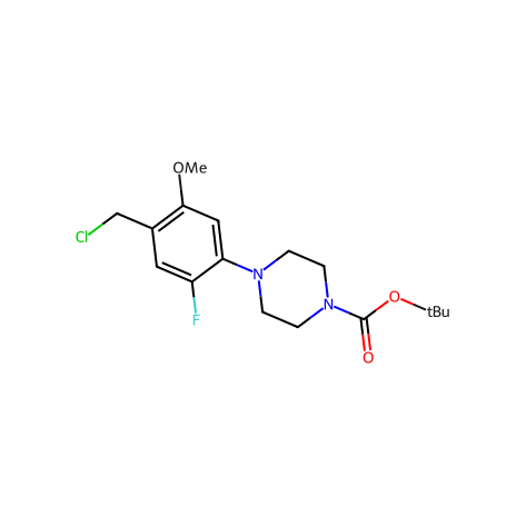 COc1cc(N2CCN(C(=O)OC(C)(C)C)CC2)c(F)cc1CCl